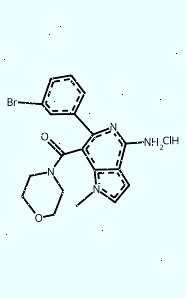 Cl.Cn1ccc2c(N)nc(-c3cccc(Br)c3)c(C(=O)N3CCOCC3)c21